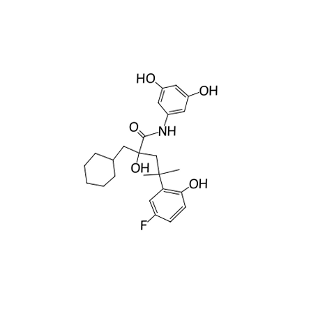 CC(C)(CC(O)(CC1CCCCC1)C(=O)Nc1cc(O)cc(O)c1)c1cc(F)ccc1O